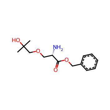 CC(C)(O)COC[C@H](N)C(=O)OCc1ccccc1